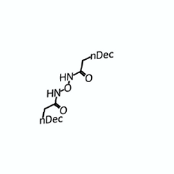 CCCCCCCCCCCC(=O)NONC(=O)CCCCCCCCCCC